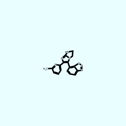 Cc1cccc(-c2nc3n(c2-c2cccc4nnsc24)CCN3)n1